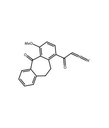 COc1ccc(C(=O)C=[N+]=[N-])c2c1C(=O)c1ccccc1CC2